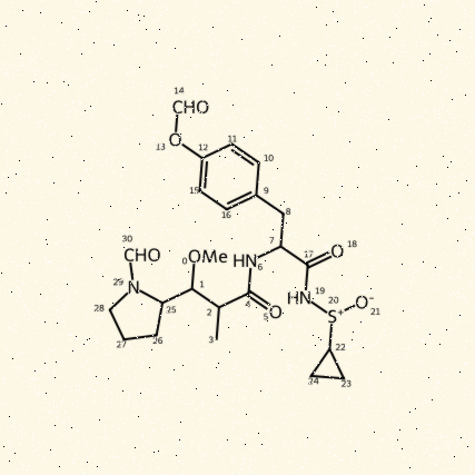 COC(C(C)C(=O)NC(Cc1ccc(OC=O)cc1)C(=O)N[S+]([O-])C1CC1)C1CCCN1C=O